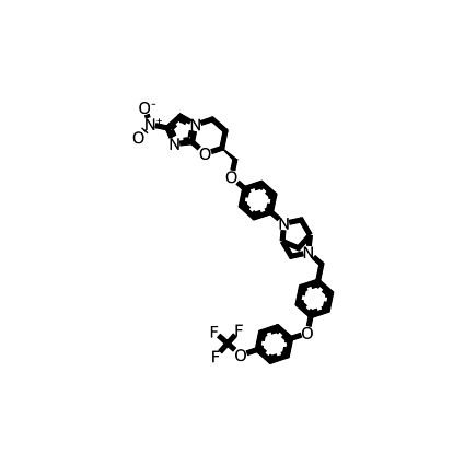 O=[N+]([O-])c1cn2c(n1)O[C@H](COc1ccc(N3CC4CC3CN4Cc3ccc(Oc4ccc(OC(F)(F)F)cc4)cc3)cc1)CC2